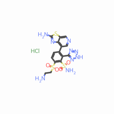 Cl.NCCS(=O)(=O)c1ccc(-c2cncc3sc(N)nc23)c(-c2nn[nH]n2)c1S(N)(=O)=O